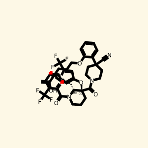 C=C(O)C(C)(C)CCCOc1ccccc1C1(C#N)CCN(C(=O)[C@]2(Oc3csc(C(F)(F)F)c3)CCCN(C(=O)c3ncccc3C(F)(F)F)[C@@H]2CCC)CC1